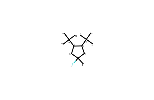 CC1(F)CC(C(C)(C)C)C(C(C)(C)C)C1